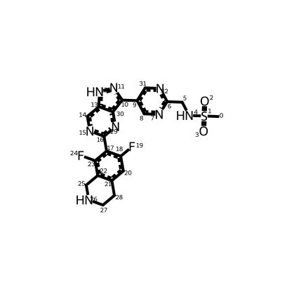 CS(=O)(=O)NCc1ncc(-c2n[nH]c3cnc(-c4c(F)cc5c(c4F)CNCC5)nc23)cn1